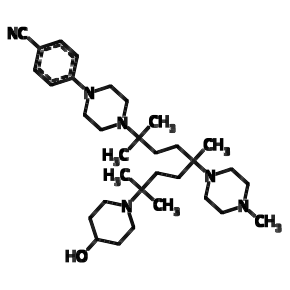 CN1CCN(C(C)(CCC(C)(C)N2CCC(O)CC2)CCC(C)(C)N2CCN(c3ccc(C#N)cc3)CC2)CC1